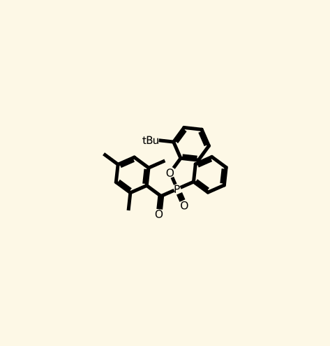 Cc1cc(C)c(C(=O)P(=O)(Oc2ccccc2C(C)(C)C)c2ccccc2)c(C)c1